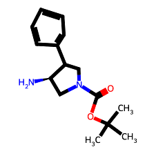 CC(C)(C)OC(=O)N1CC(c2ccccc2)[C@H](N)C1